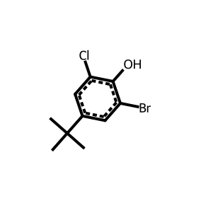 CC(C)(C)c1cc(Cl)c(O)c(Br)c1